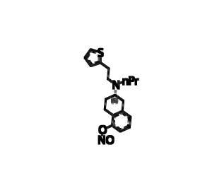 CCCN(CCc1cccs1)[C@H]1CCc2c(cccc2ON=O)C1